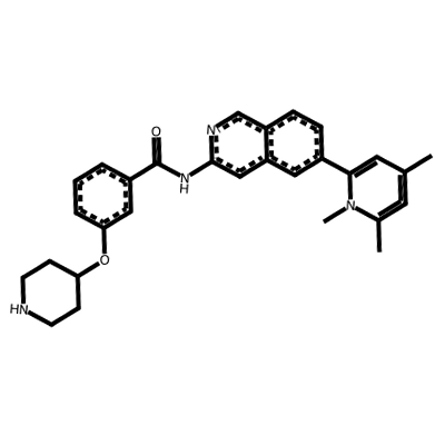 CC1=C=C(C)N(C)C(c2ccc3cnc(NC(=O)c4cccc(OC5CCNCC5)c4)cc3c2)=C1